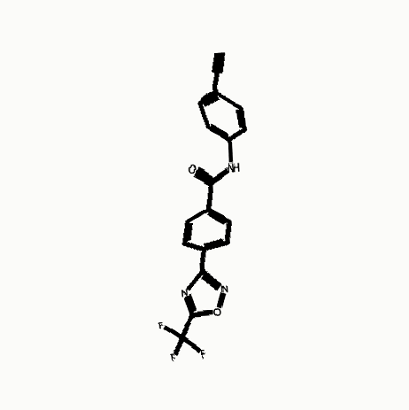 C#Cc1ccc(NC(=O)c2ccc(-c3noc(C(F)(F)F)n3)cc2)cc1